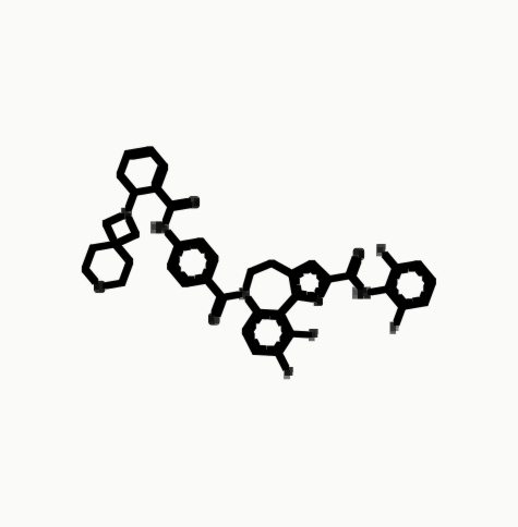 O=C(Nc1ccc(C(=O)N2CCc3cc(C(=O)Nc4c(F)cccc4F)sc3-c3c2ccc(F)c3F)cc1)C1=CC=CCC1N1CC2(CCOCC2)C1